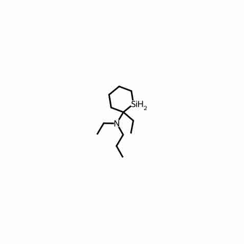 CCCN(CC)C1(CC)CCCC[SiH2]1